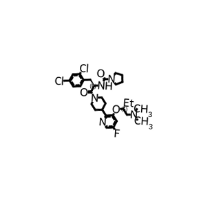 CC[C@@H](CN(C)C)Oc1cc(F)cnc1C1CCN(C(=O)[C@@H](Cc2ccc(Cl)cc2Cl)NC(=O)N2CCCC2)CC1